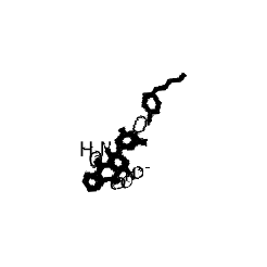 CCCCCC1CCC(COc2c(C)cc(-c3cc([N+](=O)[O-])c4c(c3N)C(=O)c3ccccc3C4=O)cc2C)CC1